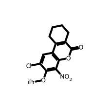 CC(C)Oc1c(Cl)cc2c3c(c(=O)oc2c1[N+](=O)[O-])CCCC3